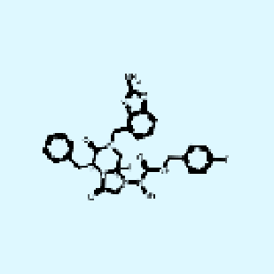 CCCN(C(=O)NCc1ccc(F)cc1)N1CC(=O)N2[C@@H](Cc3ccccc3)C(=O)N(Cc3cccc4sc(N)nc34)C[C@@H]21